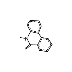 C=C1c2ccccc2-c2ccccc2N1C